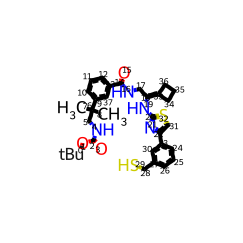 CC(C)(C)OC(=O)NCC(C)(C)c1cccc(C(=O)NCC(Nc2nc(-c3cccc(CS)c3)cs2)=C2CCC2)c1